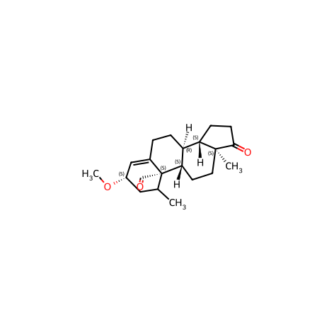 CO[C@@H]1C=C2CC[C@H]3[C@@H]4CCC(=O)[C@@]4(C)CC[C@@H]3[C@@]2(C=O)C(C)C1